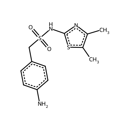 Cc1nc(NS(=O)(=O)Cc2ccc(N)cc2)sc1C